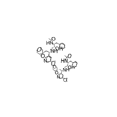 CC(=O)N[C@@H](Cc1ccccc1)[C@H](O)CN[C@H]1C[C@@]2(CCOC2)Oc2ncc(Cl)cc21.CC(=O)N[C@@H](Cc1ccccc1)[C@H](O)CN[C@H]1C[C@]2(CCOC2)Oc2ncc(Cl)cc21